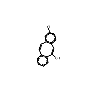 OC1=Cc2ccc(Cl)cc2/C=C\c2ccccc21